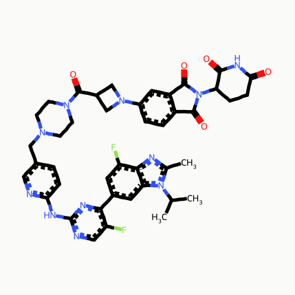 Cc1nc2c(F)cc(-c3nc(Nc4ccc(CN5CCN(C(=O)C6CN(c7ccc8c(c7)C(=O)N(C7CCC(=O)NC7=O)C8=O)C6)CC5)cn4)ncc3F)cc2n1C(C)C